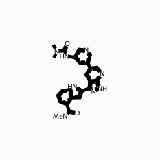 CNC(=O)c1cccc2[nH]c(-c3n[nH]c4ncc(-c5cncc(NC(=O)N(C)C)c5)cc34)cc12